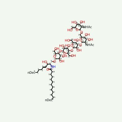 CCCCCCCCCCCCC/C=C/[C@@H](O)[C@H](CO[C@@H]1OC(CO)[C@@H](O[C@@H]2OC(CO)[C@H](O[C@@H]3OC(CO)[C@H](O)[C@H](O[C@@H]4OC(CO[C@@H]5OC(CO)[C@@H](O)[C@H](O)C5NC(C)=O)[C@H](O)[C@H](O)C4NC(C)=O)C3O)[C@H](O)C2O)[C@H](O)C1O)NC(=O)CCCCCCCCCCCCCCCCCCCCC